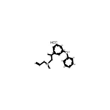 C=CCN(C)CC(C)c1cccc(Oc2ccccc2)c1.Cl